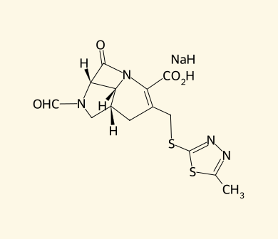 Cc1nnc(SCC2=C(C(=O)O)N3C(=O)[C@@H]4[C@H]3[C@H](C2)CN4C=O)s1.[NaH]